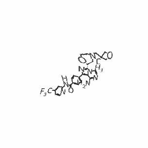 CC1(CN2CCO[C@@H](c3nc(-c4ccc(C(=O)Nc5cc(C(F)(F)F)ccn5)cc4)c4c(N)nccn34)C2)COC1